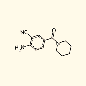 N#Cc1cc(C(=O)N2CCCCC2)ccc1N